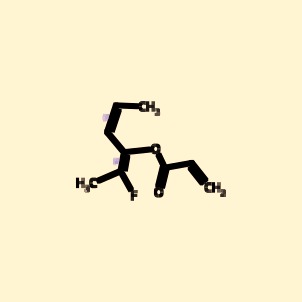 C=CC(=O)OC(/C=C\C)=C(/C)F